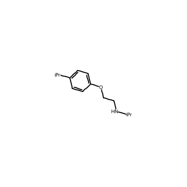 CC(C)NCCOc1ccc(C(C)C)cc1